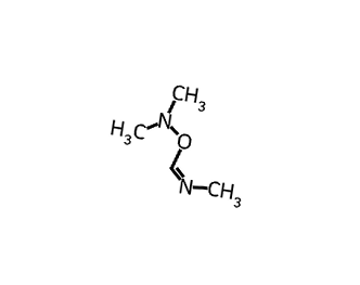 C/N=C\ON(C)C